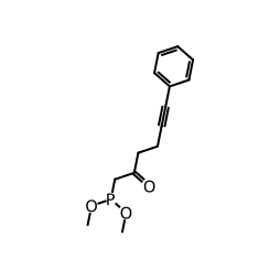 COP(CC(=O)CCC#Cc1ccccc1)OC